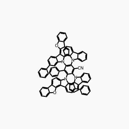 N#Cc1c(-n2c3ccccc3c3ccccc32)c(-n2c3cc(-c4ccccc4)ccc3c3c4oc5ccccc5c4ccc32)c(-c2ccccc2)c(-n2c3cc(-c4ccccc4)ccc3c3c4oc5ccccc5c4ccc32)c1-n1c2ccccc2c2ccccc21